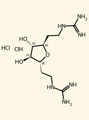 Cl.Cl.N=C(N)NCC[C@H]1O[C@H](CCNC(=N)N)[C@@H](O)[C@@H]1O